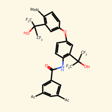 CNc1ccc(Oc2ccc(NC(=O)c3cc(C(C)=O)cc(C(C)=O)c3)c(C(O)(C(F)(F)F)C(F)(F)F)c2)cc1C(O)(C(F)(F)F)C(F)(F)F